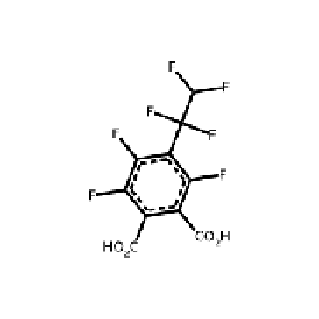 O=C(O)c1c(F)c(F)c(C(F)(F)C(F)F)c(F)c1C(=O)O